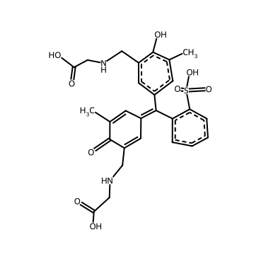 CC1=C/C(=C(\c2cc(C)c(O)c(CNCC(=O)O)c2)c2ccccc2S(=O)(=O)O)C=C(CNCC(=O)O)C1=O